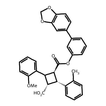 COc1ccccc1C1[C@@H](C(=O)O)[C@@H](c2ccccc2C)[C@@H]1C(=O)Oc1cccc(-c2ccc3c(c2)OCO3)c1